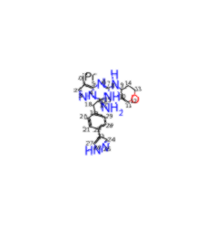 CC(C)c1cnn2c1N=C(NC1CCOCC1)NC2(N)Cc1ccc(-c2cn[nH]c2)cc1